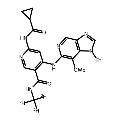 [2H]C([2H])([2H])NC(=O)c1cnc(NC(=O)C2CC2)cc1Nc1ncc2ncn(CC)c2c1OC